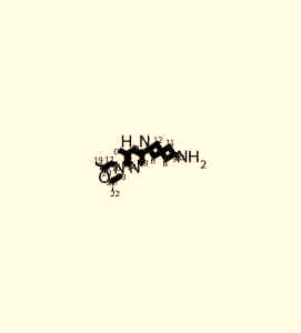 Cc1cc(C2(N)CC3(CC(N)C3)C2)cnc1N1C[C@H](C)O[C@@H](C)C1